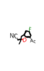 CC(=O)c1cc(F)cc2c1OC(C)(CC#N)C2